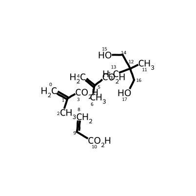 C=C(C)C(=O)O.C=C(C)C(=O)O.C=CC(=O)O.CC(C)(CO)CO